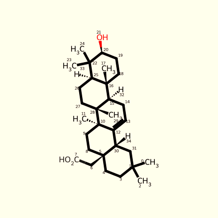 CC1(C)CC[C@]2(CC(=O)O)CC[C@]3(C)C(=CC[C@@H]4[C@@]5(C)CC[C@H](O)C(C)(C)[C@@H]5CC[C@]43C)[C@@H]2C1